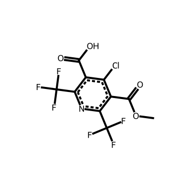 COC(=O)c1c(C(F)(F)F)nc(C(F)(F)F)c(C(=O)O)c1Cl